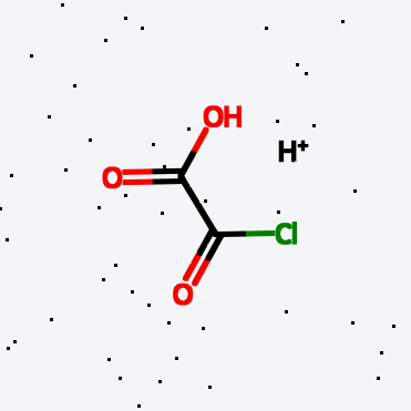 O=C(O)C(=O)Cl.[H+]